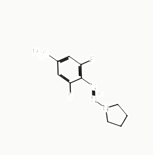 Cc1cc(F)c(/N=N/N2CCCC2)c(F)c1